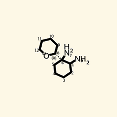 NC1CCCCC1(N)[C@H]1CCCCO1